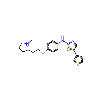 CN1CCCC1CCOc1ccc(Nc2ncc(-c3ccsc3)s2)cc1